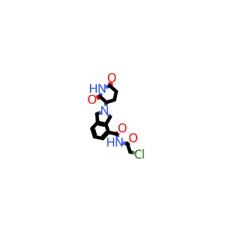 O=C(CCl)NC(=O)c1cccc2c1CN(C1CCC(=O)NC1=O)C2